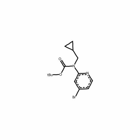 CC(C)(C)OC(=O)N(CC1CC1)c1cc(Br)ccn1